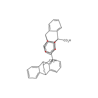 O=C(O)C1CC2c3ccccc3C1c1c(-c3ccc4c(c3)C3(C(=O)O)c5ccccc5C4c4ccccc43)cccc12